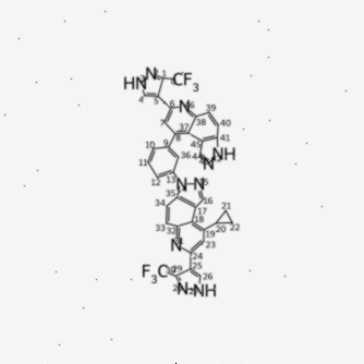 FC(F)(F)c1n[nH]cc1-c1cc(-c2cccc(-n3ncc4c5c(C6CC6)cc(-c6c[nH]nc6C(F)(F)F)nc5ccc43)c2)c2c(ccc3[nH]ncc32)n1